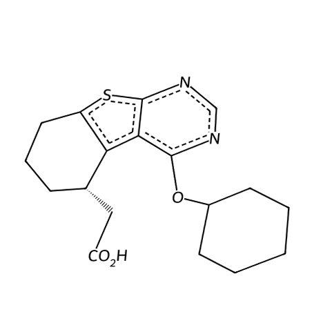 O=C(O)C[C@@H]1CCCc2sc3ncnc(OC4CCCCC4)c3c21